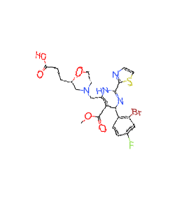 COC(=O)C1=C(CN2CCOC(CCC(=O)O)C2)NC(c2nccs2)=NC1c1ccc(F)cc1Br